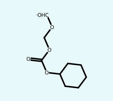 O=[C]OCOC(=O)OC1CCCCC1